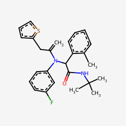 C=C(Cc1cccs1)N(c1cccc(F)c1)C(C(=O)NC(C)(C)C)c1ccccc1C